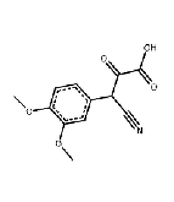 COc1ccc(C(C#N)C(=O)C(=O)O)cc1OC